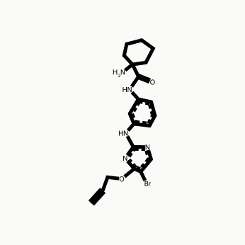 C#CCOc1nc(Nc2cccc(NC(=O)C3(N)CCCCC3)c2)ncc1Br